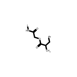 CC(C)CC(C)C(=O)OCC(=O)NI